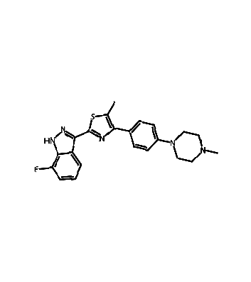 Cc1sc(-c2n[nH]c3c(F)cccc23)nc1-c1ccc(N2CCN(C)CC2)cc1